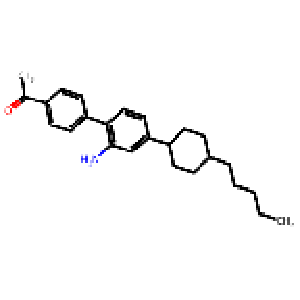 CCCCCC1CCC(c2ccc(-c3ccc(C(C)=O)cc3)c(N)c2)CC1